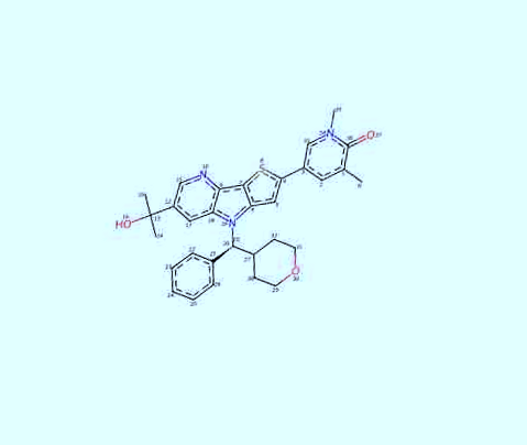 Cc1cc(-c2cc3c(s2)c2ncc(C(C)(C)O)cc2n3[C@H](c2ccccc2)C2CCOCC2)cn(C)c1=O